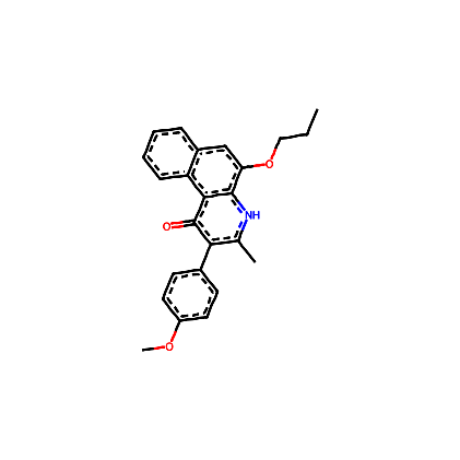 CCCOc1cc2ccccc2c2c(=O)c(-c3ccc(OC)cc3)c(C)[nH]c12